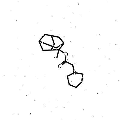 CC1(OC(=O)CN2CCCCC2)C2CC3CC(C2)CC1C3